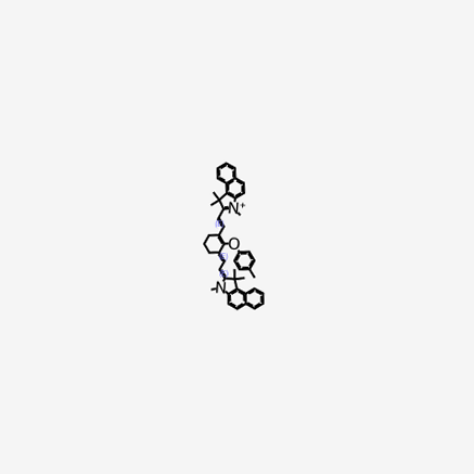 Cc1ccc(OC2=C(/C=C/C3=[N+](C)c4ccc5ccccc5c4C3(C)C)CCC/C2=C\C=C2\N(C)c3ccc4ccccc4c3C2(C)C)cc1